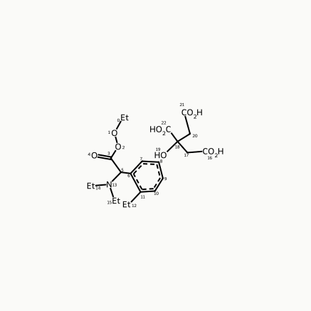 CCOOC(=O)C(c1ccccc1CC)N(CC)CC.O=C(O)CC(O)(CC(=O)O)C(=O)O